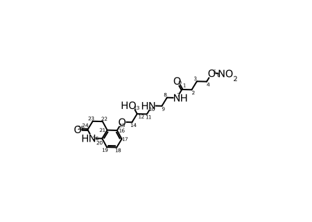 O=C(CCCO[N+](=O)[O-])NCCNCC(O)COc1cccc2c1CCC(=O)N2